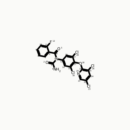 NC(=O)N(C(=O)c1ccccc1F)c1cc(Cl)c(Oc2ncc(Cl)cc2Cl)c(Cl)c1